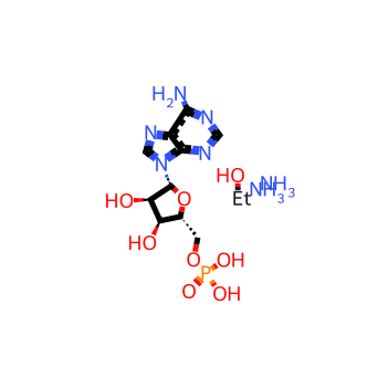 CCO.N.N.Nc1ncnc2c1ncn2[C@@H]1O[C@H](COP(=O)(O)O)[C@@H](O)[C@H]1O